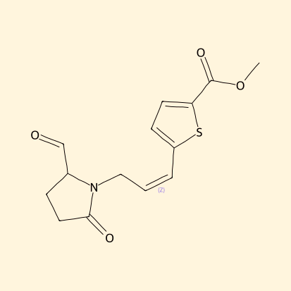 COC(=O)c1ccc(/C=C\CN2C(=O)CCC2C=O)s1